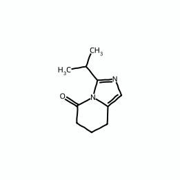 CC(C)c1ncc2n1C(=O)CCC2